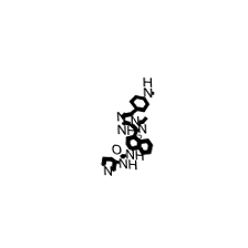 CNC1CC=C(c2cnc(N)c3c(-c4ccc(NC(=O)Nc5cccnc5)c5ccccc45)nc(C)n23)CC1